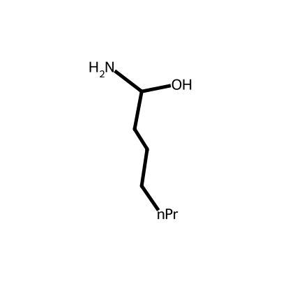 CCCCCCC(N)O